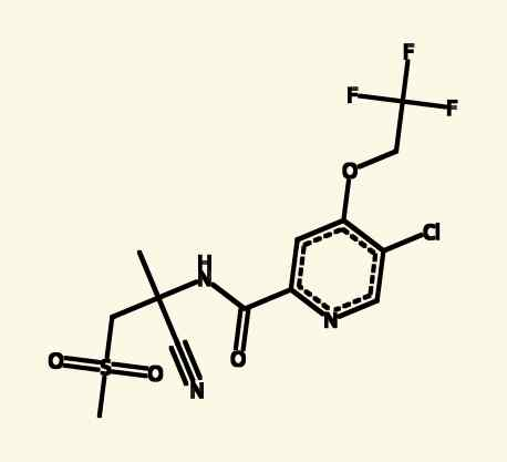 CC(C#N)(CS(C)(=O)=O)NC(=O)c1cc(OCC(F)(F)F)c(Cl)cn1